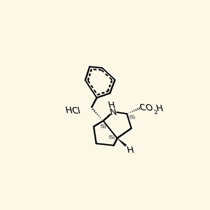 Cl.O=C(O)[C@@H]1C[C@@H]2CCC[C@@]2(Cc2ccccc2)N1